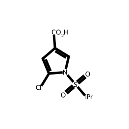 CC(C)S(=O)(=O)n1cc(C(=O)O)cc1Cl